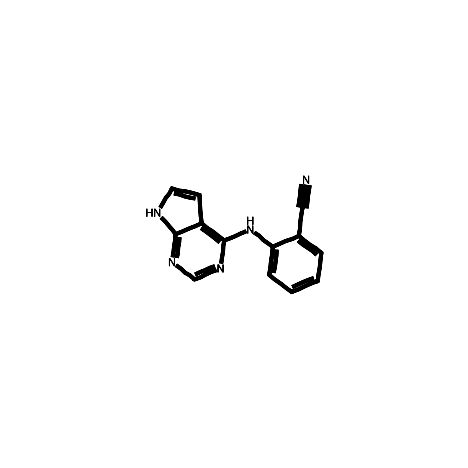 N#Cc1ccccc1Nc1ncnc2[nH]ccc12